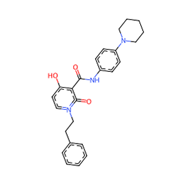 O=C(Nc1ccc(N2CCCCC2)cc1)c1c(O)ccn(CCc2ccccc2)c1=O